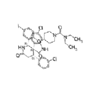 CCN(CC)C(=O)N1CCC(Oc2ccc(I)cc2[C@H]2NC(=O)C[C@@H](c3cccc(Cl)c3)[C@]23C(=O)Nc2cc(Cl)ccc23)CC1